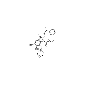 CCOC(=O)c1c(CSC(C)c2ccccc2)n(C)c2cc(Br)c(O)c(CN3CCOCC3)c12